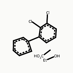 CC(=O)O.CCO.Clc1cccc(-c2ccccc2)c1Cl